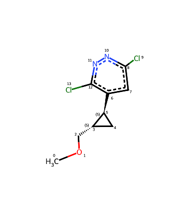 COC[C@H]1C[C@@H]1c1cc(Cl)nnc1Cl